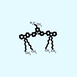 CCCCCCCCC1(CCCCCCCC)c2ccccc2-c2ccc(-c3ccc4c(c3)c3cc(C(C)CC)cc5c6cc(-c7ccc8c(c7)C(CCCCCCCC)(CCCCCCCC)c7ccccc7-8)ccc6n4c35)cc21